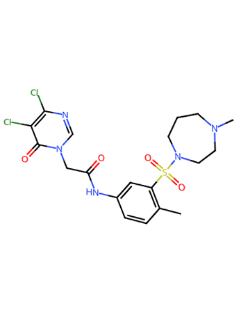 Cc1ccc(NC(=O)Cn2cnc(Cl)c(Cl)c2=O)cc1S(=O)(=O)N1CCCN(C)CC1